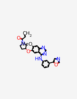 C=CC(=O)N1CCC(Oc2cc3c(Nc4cccc(-c5cnco5)c4)ncnc3cc2OC)C1